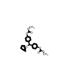 COC(=O)Oc1ccc(C(C)c2ccc(OC(=O)OC)cc2)cc1.c1cc2cc-2c1